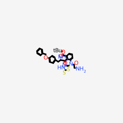 CC(C)(C)OC(=O)c1cccc(N(C(=O)CN)c2n[nH]c(=S)s2)c1C(=O)[C@@H](N)Cc1ccc(OCc2ccccc2)cc1